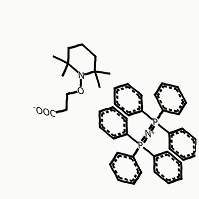 CC1(C)CCCC(C)(C)N1OCCC(=O)[O-].c1ccc(P(=[N+]=P(c2ccccc2)(c2ccccc2)c2ccccc2)(c2ccccc2)c2ccccc2)cc1